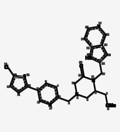 COCC1CN(Cc2ccc(-c3ccc(Cl)s3)cn2)CC(=O)N1Cc1cc2cnccc2[nH]1